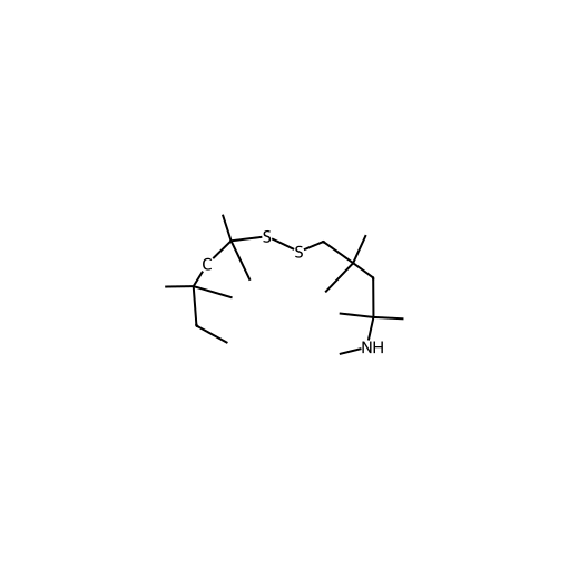 CCC(C)(C)CC(C)(C)SSCC(C)(C)CC(C)(C)NC